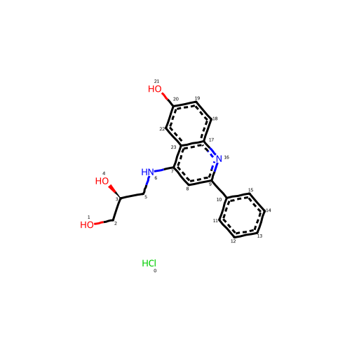 Cl.OC[C@@H](O)CNc1cc(-c2ccccc2)nc2ccc(O)cc12